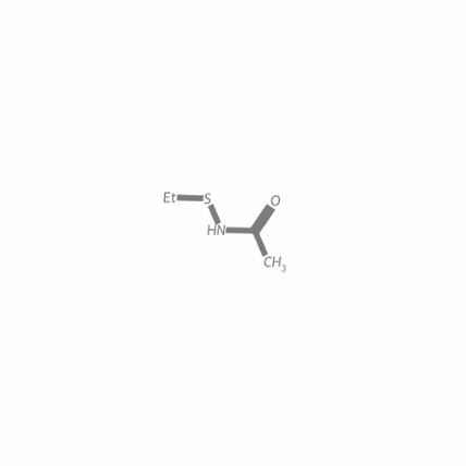 CCSNC(C)=O